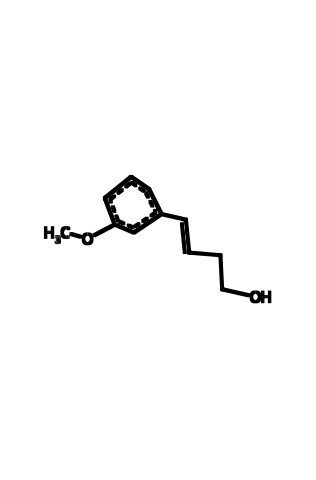 COc1cccc(C=CCCO)c1